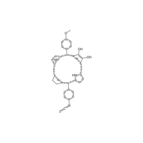 COc1ccc(-c2c3nc(cc4ccc([nH]4)c(-c4ccc(N=C=S)cc4)c4nc(cc5ccc2[nH]5)CC4)C(O)=C3O)cc1